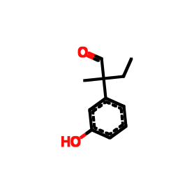 CCC(C)(C=O)c1cccc(O)c1